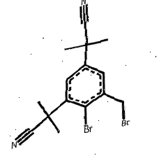 CC(C)(C#N)c1cc(CBr)c(Br)c(C(C)(C)C#N)c1